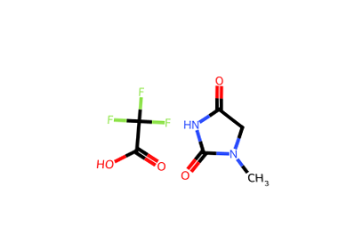 CN1CC(=O)NC1=O.O=C(O)C(F)(F)F